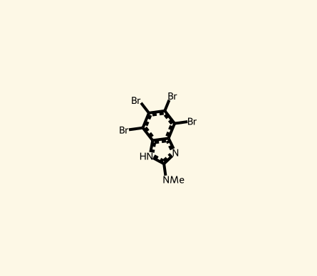 CNc1nc2c(Br)c(Br)c(Br)c(Br)c2[nH]1